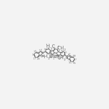 Cc1c(C)c2c(c3c1-c1ccc(-c4cc5ccccc5s4)cc1C3(C)C)C(C)(C)c1cc(-c3cc4ccccc4s3)ccc1-2